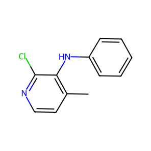 Cc1ccnc(Cl)c1Nc1ccccc1